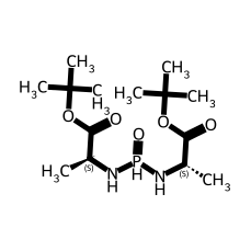 C[C@H](N[PH](=O)N[C@@H](C)C(=O)OC(C)(C)C)C(=O)OC(C)(C)C